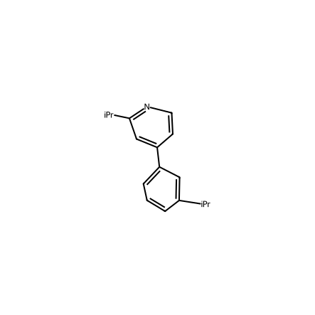 CC(C)c1cccc(-c2ccnc(C(C)C)c2)c1